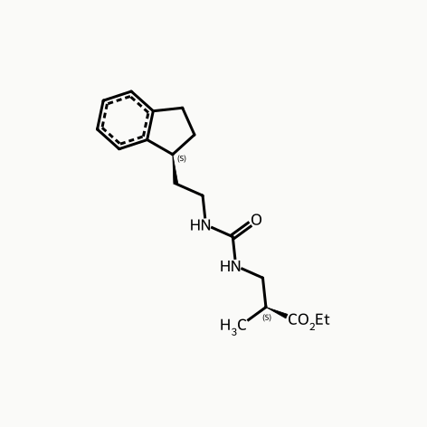 CCOC(=O)[C@@H](C)CNC(=O)NCC[C@@H]1CCc2ccccc21